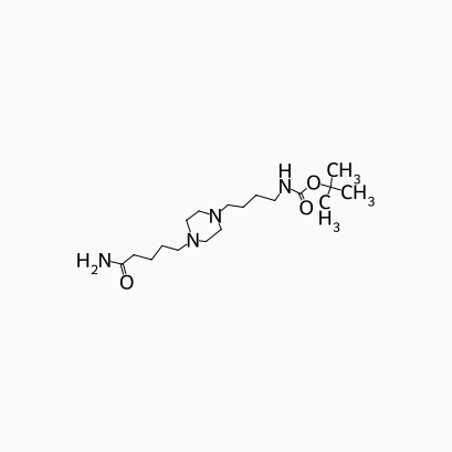 CC(C)(C)OC(=O)NCCCCN1CCN(CCCCC(N)=O)CC1